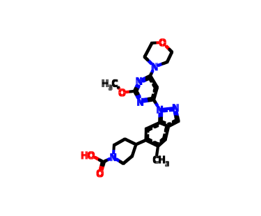 COc1nc(N2CCOCC2)cc(-n2ncc3cc(C)c(C4CCN(C(=O)O)CC4)cc32)n1